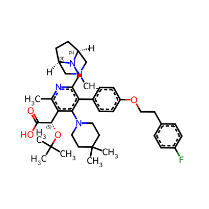 Cc1nc(CN2[C@@H]3CC[C@H]2CN(C)C3)c(-c2ccc(OCCc3ccc(F)cc3)cc2)c(N2CCC(C)(C)CC2)c1[C@H](OC(C)(C)C)C(=O)O